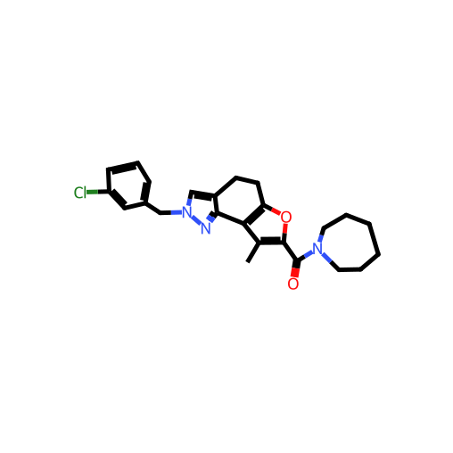 Cc1c(C(=O)N2CCCCCC2)oc2c1-c1nn(Cc3cccc(Cl)c3)cc1CC2